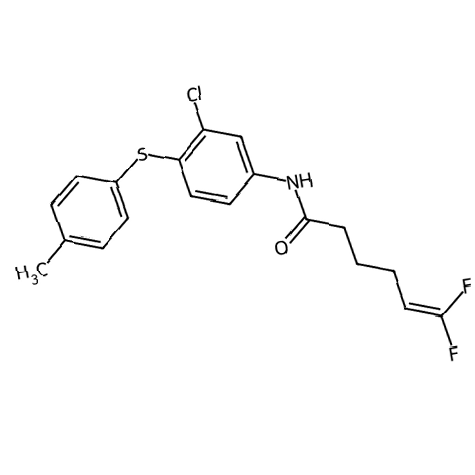 Cc1ccc(Sc2ccc(NC(=O)CCCC=C(F)F)cc2Cl)cc1